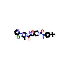 CC1CN(c2ncccc2Cl)CCN1C(=O)C1=NOC2(CCN(C(=O)Nc3ccc(C(C)(C)C)cc3)CC2)C1